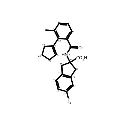 Cc1cccc(C(=O)NC2(C(=O)O)Cc3ccc(F)cc3C2)c1C1=CCCC1